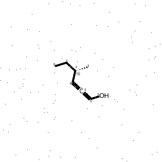 CC[C@H](C)C=C=CO